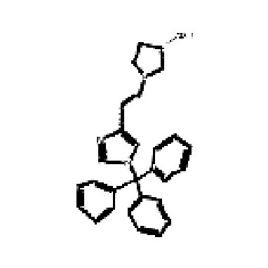 O=C(O)[C@H]1CCN(CCc2cn(C(c3ccccc3)(c3ccccc3)c3ccccc3)cn2)C1